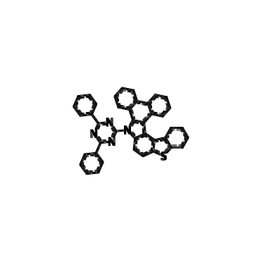 c1ccc(-c2nc(-c3ccccc3)nc(-n3c4ccc5sc6ccccc6c5c4c4c5ccccc5c5ccccc5c43)n2)cc1